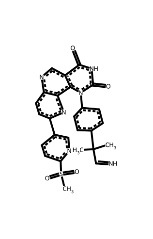 CC(C)(C=N)c1ccc(-n2c(=O)[nH]c(=O)c3cnc4ccc(-c5ccc(S(C)(=O)=O)nc5)nc4c32)cc1